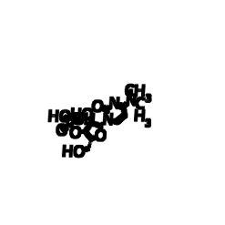 CN(C)c1ccn([C@@H]2O[C@H](CO)[C@@H](OP(=O)(O)O)[C@H]2O)c(=O)n1